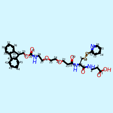 O=C(O)CCNC(=O)[C@H](CSSc1ccccn1)NC(=O)CCOCCOCCNC(=O)OCC1c2ccccc2-c2ccccc21